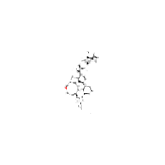 NC1CC(c2cccc(-c3ccc(C(=O)N4CCN(C(=O)C5(O)CC5)CC4)c(F)c3)c2)N(C2CCCCCCCC2)O1